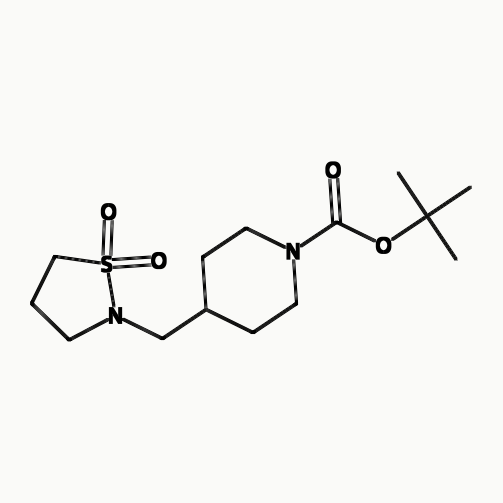 CC(C)(C)OC(=O)N1CCC(CN2CCCS2(=O)=O)CC1